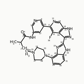 CC(C)C(=O)Nc1cncc(-c2ncc3[nH]nc(-c4nc5c(N6CCN(C)CC6)cccc5[nH]4)c3c2F)c1